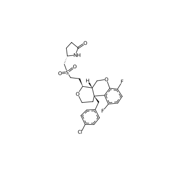 O=C1CC[C@@H](CS(=O)(=O)CC[C@@H]2OCC[C@@]3(Cc4ccc(Cl)cc4)c4c(F)ccc(F)c4OC[C@@H]23)N1